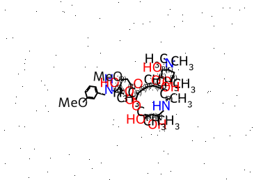 COc1cccc(CNC[C@]2(O)[C@H](C)O[C@@H](O[C@@H]3[C@@H](C)[C@@H](O[C@@H]4O[C@H](C)C[C@H](N(C)C)[C@H]4O)[C@](C)(O)C[C@@H](C)NC[C@@H](C)[C@H](O)[C@](C)(O)COC(=O)[C@@H]3C)C[C@H]2OC)c1